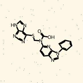 O=C(O)N(CSc1ncnc2[nH]cnc12)c1ccc2ncn(-c3ccccc3)c2n1